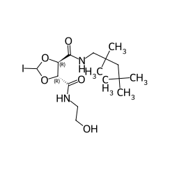 CC(C)(C)CC(C)(C)CNC(=O)[C@@H]1OC(I)O[C@H]1C(=O)NCCO